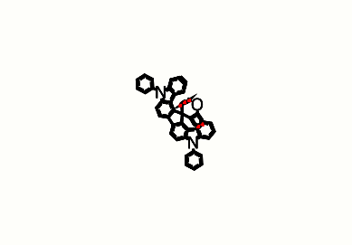 c1cc2c3c4c(ccc3n(-c3ccccc3)c2cc#1)-c1ccc2c(c1C41c3ccccc3Oc3ccccc31)c1ccccc1n2-c1ccccc1